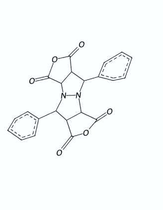 O=C1OC(=O)C2C1C(c1ccccc1)N1C3C(=O)OC(=O)C3C(c3ccccc3)N21